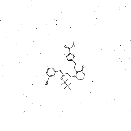 C#Cc1cccc(C[C@@H](CCN2CCSC(=O)N2CCc2ccc(C(=O)OC)s2)O[Si](C)(C)C(C)(C)C)c1